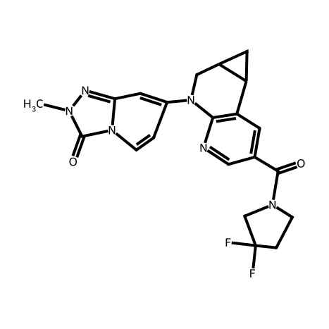 Cn1nc2cc(N3CC4CC4c4cc(C(=O)N5CCC(F)(F)C5)cnc43)ccn2c1=O